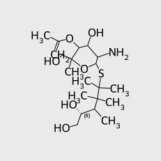 C=C(C)OC1C(O)C(N)C(SC(C)(C)C(C)(C)C(C)[C@@H](O)CO)OC1(C)CO